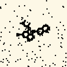 C[C@H](CN(C)C)Oc1cc(Br)cc2ncnc(Nc3ccc4nnccc4c3)c12